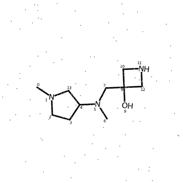 CN1CCC(N(C)CC2(O)CNC2)C1